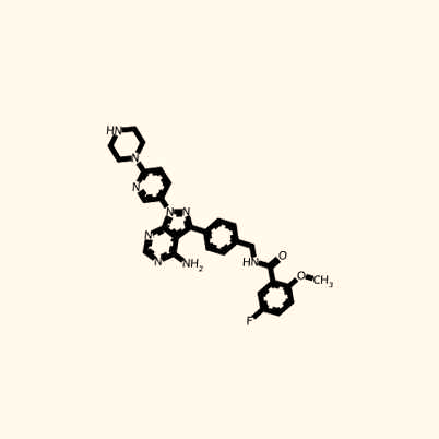 COc1ccc(F)cc1C(=O)NCc1ccc(-c2nn(-c3ccc(N4CCNCC4)nc3)c3ncnc(N)c23)cc1